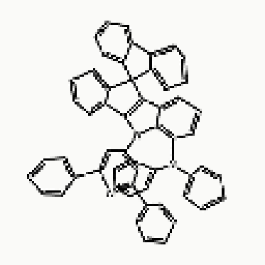 c1ccc(-c2cc(-n3c4c(c5cccc(N(c6ccccc6)c6ccccc6)c53)C3(c5ccccc5-c5ccccc53)c3ccccc3-4)cc(-c3ccccc3)n2)cc1